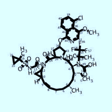 CC[C@@H]1C[C@H](C)CC/C=C\[C@@H]2C[C@@]2(C(=O)NS(=O)(=O)C2(C)CC2)NC(=O)[C@@H]2C[C@@H](Oc3ncc(OC)c4c(Cl)cccc34)CN2C(=O)[C@H]1N(C(=O)O)C(C)(C)C(F)(F)F